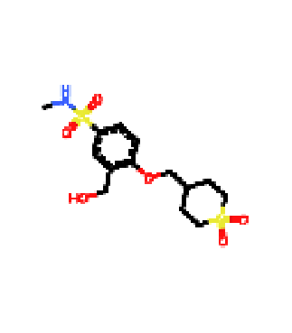 CNS(=O)(=O)c1ccc(OCC2CCS(=O)(=O)CC2)c(CO)c1